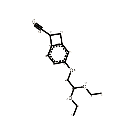 CCOC(COc1ccc2c(c1)CC2C#N)OCC